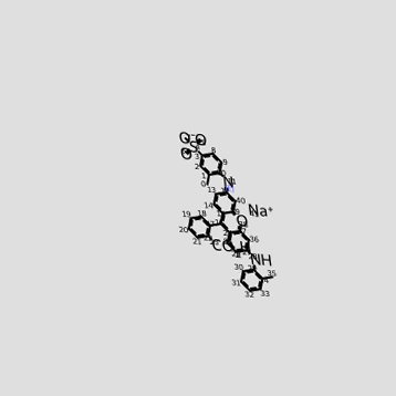 Cc1cc(S(=O)(=O)[O-])ccc1/N=c1\ccc2c(-c3ccccc3C(=O)O)c3ccc(Nc4ccccc4C)cc3oc-2c1.[Na+]